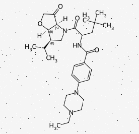 CCN1CCN(c2ccc(C(=O)NC(CC(C)(C)C)C(=O)N3C[C@@H](C(C)C)[C@H]4OCC(=O)[C@H]43)cc2)CC1